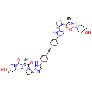 CC(C)[C@H](NC(=O)N1CCC(C)(O)CC1)C(=O)N1CCC[C@H]1c1ncc(-c2ccc(C#Cc3ccc(-c4cnc([C@@H]5CCCN5C(=O)[C@@H](NC(=O)N5CCC(C)(O)CC5)C(C)C)[nH]4)cc3)cc2)[nH]1